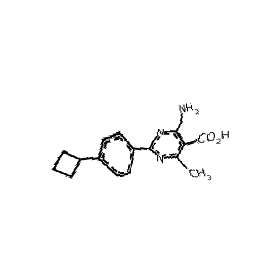 Cc1nc(-c2ccc(C3CCC3)cc2)nc(N)c1C(=O)O